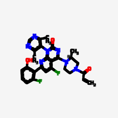 C=CC(=O)N1CCN(c2nc(=O)n(-c3c(C)ncnc3C)c3nc(-c4c(O)cccc4F)cc(F)c23)[C@@H](C)C1